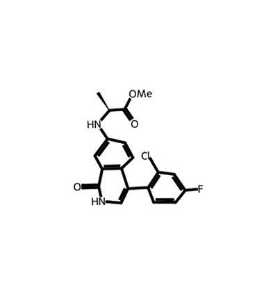 COC(=O)[C@H](C)Nc1ccc2c(-c3ccc(F)cc3Cl)c[nH]c(=O)c2c1